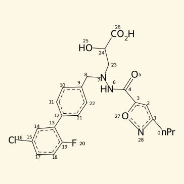 CCCc1cc(C(=O)NN(Cc2ccc(-c3cc(Cl)ccc3F)cc2)CC(O)C(=O)O)on1